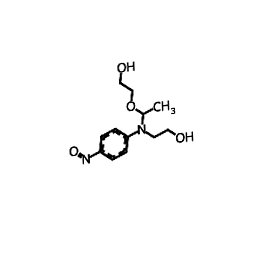 CC(OCCO)N(CCO)c1ccc(N=O)cc1